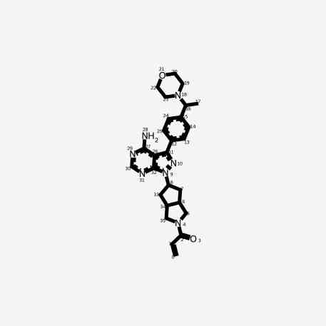 C=CC(=O)N1CC2CC(n3nc(-c4ccc(C(C)N5CCOCC5)cc4)c4c(N)ncnc43)CC2C1